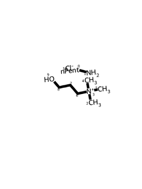 CCCCCN.C[N+](C)(C)CCCO.[Cl-]